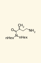 C=C(CCN)C(=O)N(CCCCCC)CCCCCC